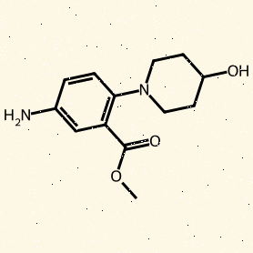 COC(=O)c1cc(N)ccc1N1CCC(O)CC1